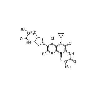 CC(C)(C)OC(=O)NC1CN(c2c(F)cc3c(=O)n(NC(=O)OC(C)(C)C)c(=O)n(C4CC4)c3c2Cl)CC1C(F)(F)F